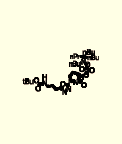 CCCCN(OS(=O)(=O)ON1C(=O)N2CC1CC[C@H]2c1nnc(CCCNC(=O)OC(C)(C)C)o1)C(CCC)(CCCC)CCCC